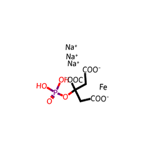 O=C([O-])CC(CC(=O)[O-])(OP(=O)(O)O)C(=O)[O-].[Fe].[Na+].[Na+].[Na+]